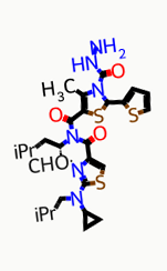 CC1=C(C(=O)N(C(=O)c2csc(N(CC(C)C)C3CC3)n2)[C@H]([C]=O)CC(C)C)SC(c2cccs2)N1C(=O)NN